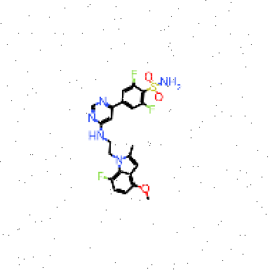 COc1ccc(F)c2c1cc(C)n2CCNc1cc(-c2cc(F)c(S(N)(=O)=O)c(F)c2)ncn1